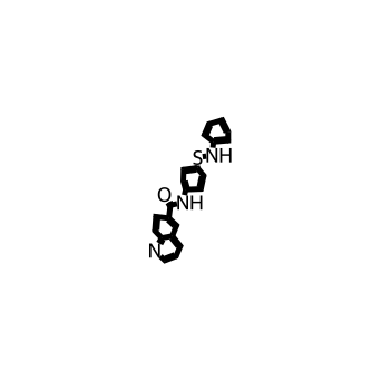 O=C(Nc1ccc(SNc2ccccc2)cc1)c1ccc2ncccc2c1